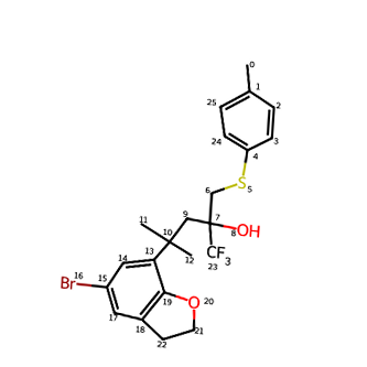 Cc1ccc(SCC(O)(CC(C)(C)c2cc(Br)cc3c2OCC3)C(F)(F)F)cc1